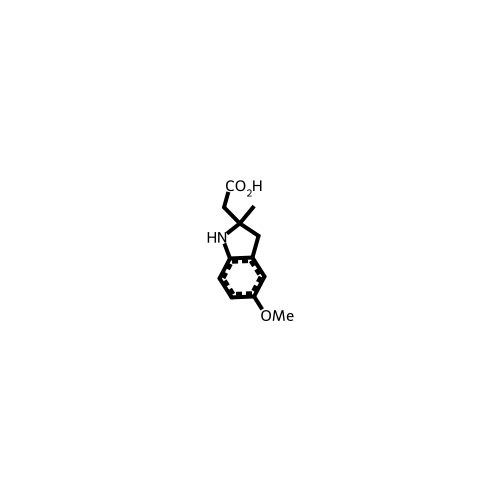 COc1ccc2c(c1)CC(C)(CC(=O)O)N2